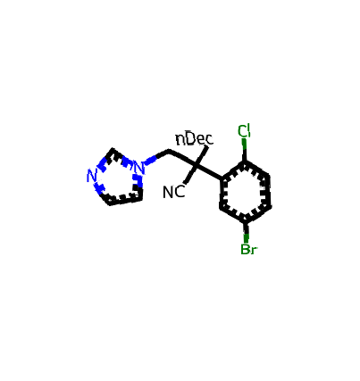 CCCCCCCCCCC(C#N)(Cn1ccnc1)c1cc(Br)ccc1Cl